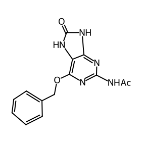 CC(=O)Nc1nc(OCc2ccccc2)c2[nH]c(=O)[nH]c2n1